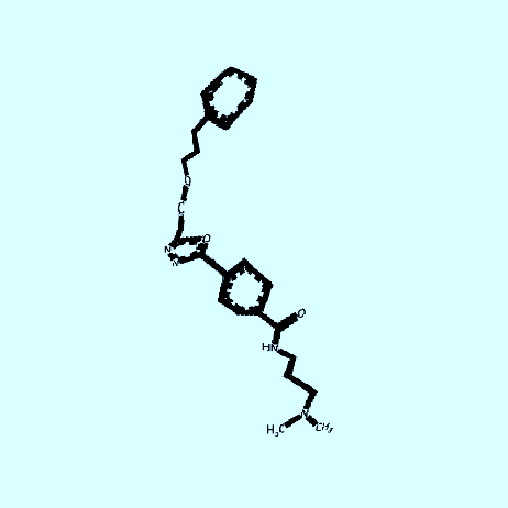 CN(C)CCCNC(=O)c1ccc(-c2nnc(COCCCc3ccccc3)o2)cc1